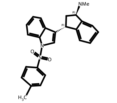 CN[C@@H]1C[C@@H](c2cn(S(=O)(=O)c3ccc(C)cc3)c3ccccc23)c2ccccc21